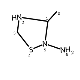 CC1NCSN1N